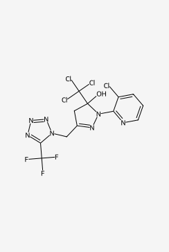 OC1(C(Cl)(Cl)Cl)CC(Cn2nnnc2C(F)(F)F)=NN1c1ncccc1Cl